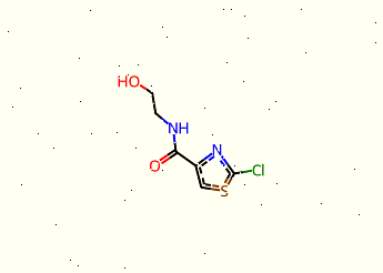 O=C(NCCO)c1csc(Cl)n1